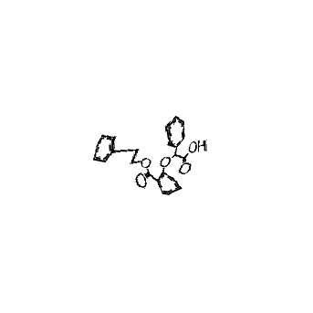 O=C(OCCc1ccccc1)c1ccccc1OC(C(=O)O)c1ccccc1